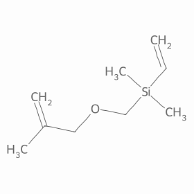 C=C[Si](C)(C)COCC(=C)C